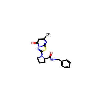 O=C(NCc1ccccc1)C1CCCN1c1nn2c(=O)cc(C(F)(F)F)nc2s1